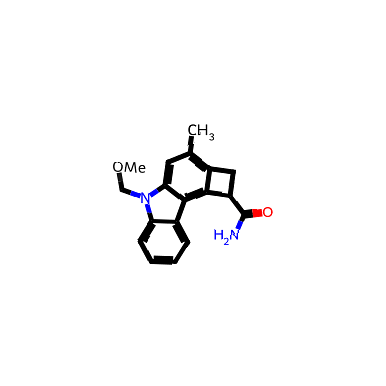 COCn1c2ccccc2c2c3c(c(C)cc21)CC3C(N)=O